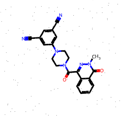 Cn1nc(C(=O)N2CCN(c3cc(C#N)cc(C#N)c3)CC2)c2ccccc2c1=O